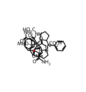 CO[C@@]1(CC(N)=O)Cc2ccc(cc2)[C@]1(C(=O)NC(=O)O)N1CCCC1N(c1ccccc1)C1CCCN1[C@@]1(C(=O)NC(=O)O)c2ccc(cc2)C[C@]1(CC(N)=O)OC